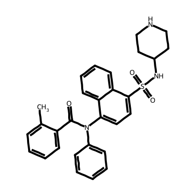 Cc1ccccc1C(=O)N(c1ccccc1)c1ccc(S(=O)(=O)NC2CCNCC2)c2ccccc12